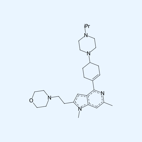 Cc1cc2c(cc(CCN3CCOCC3)n2C)c(C2=CCC(N3CCN(C(C)C)CC3)CC2)n1